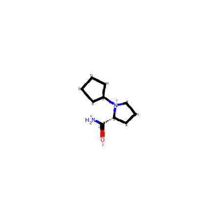 NC(=O)[C@H]1CCCN1C1CCCC1